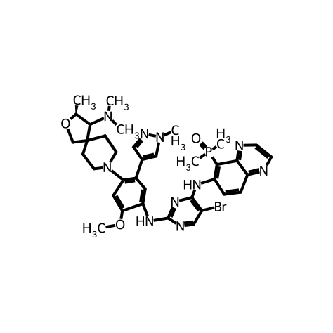 COc1cc(N2CCC3(CC2)CO[C@@H](C)C3N(C)C)c(-c2cnn(C)c2)cc1Nc1ncc(Br)c(Nc2ccc3nccnc3c2P(C)(C)=O)n1